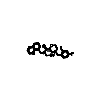 CC(C)CN(Cc1cccc2cccnc12)C(=O)[C@H]1CN(Cc2ccc(F)cc2F)CCO1